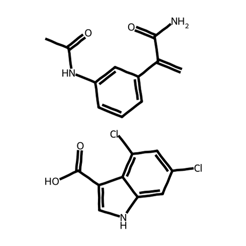 C=C(C(N)=O)c1cccc(NC(C)=O)c1.O=C(O)c1c[nH]c2cc(Cl)cc(Cl)c12